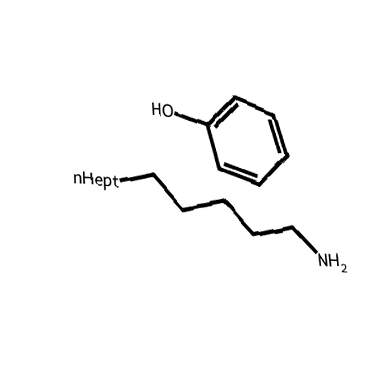 CCCCCCCCCCCCN.Oc1ccccc1